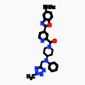 CC(=O)Nc1ccc2oc(-c3ccnc(C(=O)N4CCC(N(Cc5nnn(C)n5)c5ccccc5)CC4)c3)nc2c1